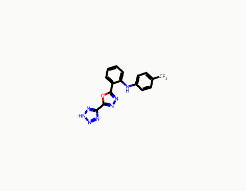 FC(F)(F)c1ccc(Nc2ccccc2-c2nnc(-c3nn[nH]n3)o2)cc1